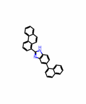 c1ccc2c(-c3ccc4[nH]c(-c5cccc6c5ccc5ccccc56)nc4c3)cccc2c1